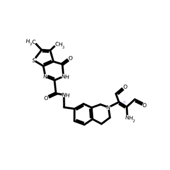 Cc1sc2nc(C(=O)NCc3ccc4c(c3)CN(/C(C=O)=C(\N)C=O)CC4)[nH]c(=O)c2c1C